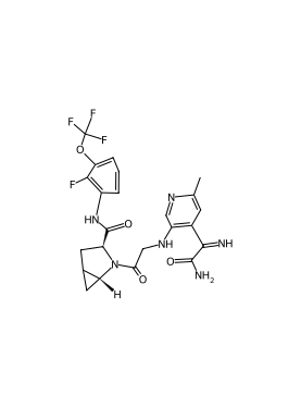 Cc1cc(C(=N)C(N)=O)c(NCC(=O)N2[C@@H]3CC3C[C@H]2C(=O)Nc2cccc(OC(F)(F)F)c2F)cn1